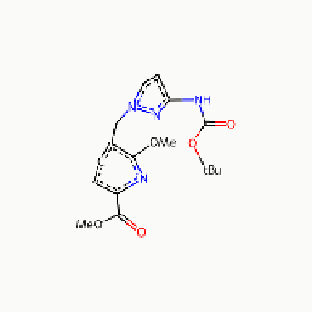 COC(=O)c1ccc(Cn2ccc(NC(=O)OC(C)(C)C)n2)c(OC)n1